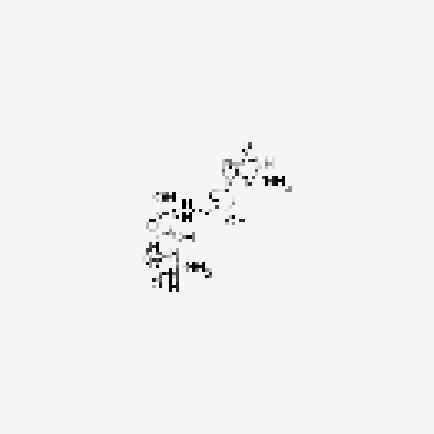 Nc1nc2c(ncn2[C@@H]2O[C@H](CO)[C@@H](NNCC[C@H]3O[C@@H](n4cnc5c(=O)[nH]c(N)nc54)C[C@@H]3O)[C@H]2O)c(=O)[nH]1